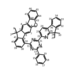 CC1(C)c2cc3c(cc2-c2c(-c4nc(-c5ccccc5)nc(-c5ccc6c(n5)C(C)(C)c5ccccc5-6)n4)cccc21)oc1ccccc13